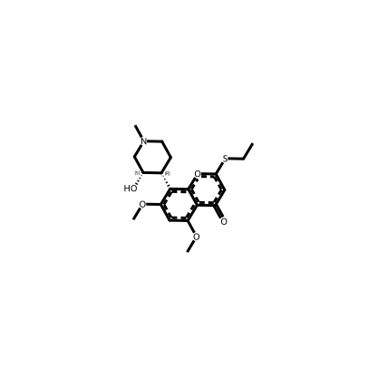 CCSc1cc(=O)c2c(OC)cc(OC)c([C@H]3CCN(C)C[C@H]3O)c2o1